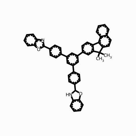 CC1(C)c2cc(-c3cc(-c4ccc(-c5nc6ccccc6o5)cc4)cc(-c4ccc(C5Nc6ccccc6O5)cc4)c3)ccc2-c2c1ccc1ccccc21